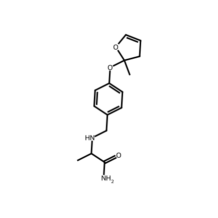 CC(NCc1ccc(OC2(C)CC=CO2)cc1)C(N)=O